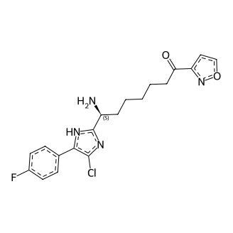 N[C@@H](CCCCCC(=O)c1ccon1)c1nc(Cl)c(-c2ccc(F)cc2)[nH]1